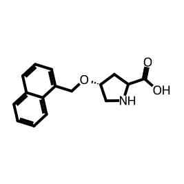 O=C(O)C1C[C@@H](OCc2cccc3ccccc23)CN1